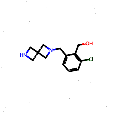 OCc1c(Cl)cccc1CN1CC2(CNC2)C1